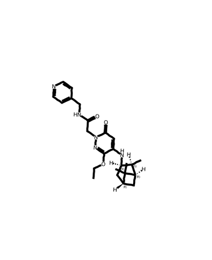 CCOc1nn(CC(=O)NCc2ccncc2)c(=O)cc1N[C@@H]1C[C@H]2C[C@H]([C@@H]1C)C2(C)C